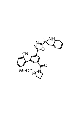 COC[C@H]1CCCN1C(=O)c1cc(-c2nnc([C@@](C)(N)Cc3ccccc3)o2)cc(-c2ccccc2C#N)c1